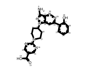 Nc1nn(C2CCN(c3ncc(C(=O)O)cn3)CC2)c2cc(-c3ccccc3O)nnc12